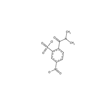 CN(C)C(=O)c1ccc([N+](=O)[O-])cc1S(=O)(=O)Cl